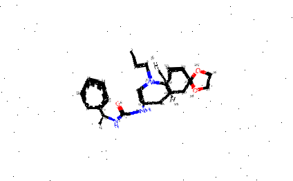 CCCN1C[C@@H](NC(=O)N[C@@H](C)c2ccccc2)C[C@@H]2CC3(CC[C@H]21)OCCO3